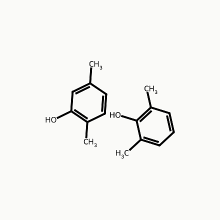 Cc1ccc(C)c(O)c1.Cc1cccc(C)c1O